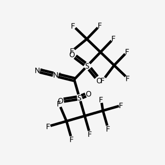 [N-]=[N+]=C(S(=O)(=O)C(F)(C(F)(F)F)C(F)(F)F)S(=O)(=O)C(F)(C(F)(F)F)C(F)(F)F